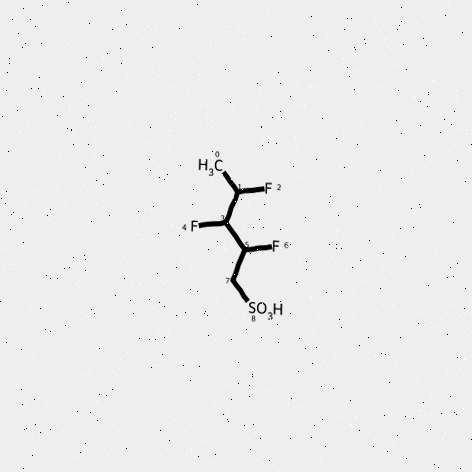 CC(F)C(F)C(F)CS(=O)(=O)O